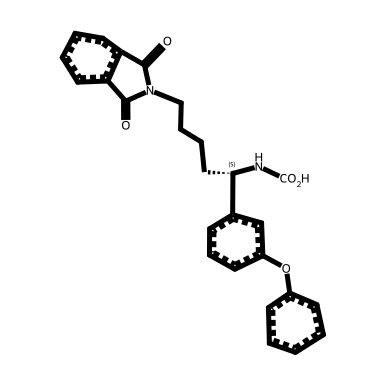 O=C(O)N[C@@H](CCCCN1C(=O)c2ccccc2C1=O)c1cccc(Oc2ccccc2)c1